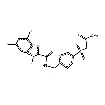 COC(=O)CS(=O)(=O)c1ccc(C(C)NC(=O)c2cc3c(Cl)cc(I)cc3n2C)cc1